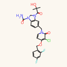 CC(C)(O)C(=O)N1CN(C(N)=O)c2ccc(Cn3ccc(OCc4ccc(F)cc4F)c(Cl)c3=O)cc21